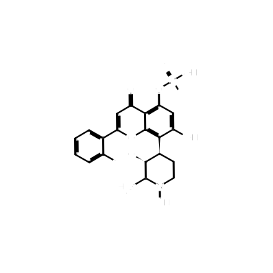 BC1[C@@H](O)[C@@H](c2c(O)cc(OP(=O)(O)O)c3c(=O)cc(-c4ccccc4Cl)oc23)CCN1C